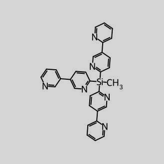 C[Si](c1ccc(-c2cccnc2)cn1)(c1ccc(-c2ccccn2)cn1)c1ccc(-c2ccccn2)cn1